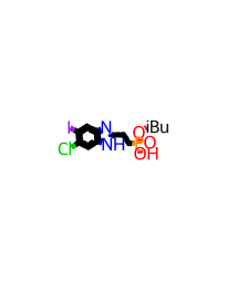 CCC(C)OP(=O)(O)CCc1nc2cc(I)c(Cl)cc2[nH]1